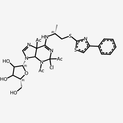 CC(=O)N1C2N([C@@H]3O[C@H](CO)C(O)C3O)C=NC2(C(C)=O)C(N[C@H](C)CSc2nc(-c3ccccc3)cs2)=NC1(Cl)C(C)=O